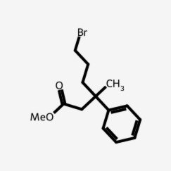 COC(=O)CC(C)(CCCBr)c1ccccc1